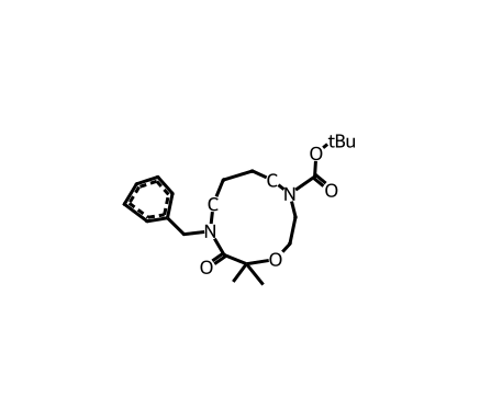 CC(C)(C)OC(=O)N1CCCCN(Cc2ccccc2)C(=O)C(C)(C)OCC1